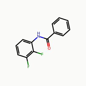 O=C(Nc1cccc(F)c1F)c1ccccc1